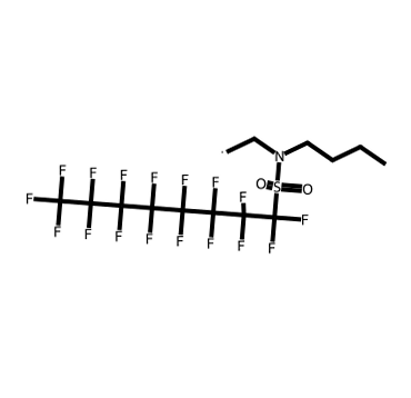 [CH2]CN(CCCC)S(=O)(=O)C(F)(F)C(F)(F)C(F)(F)C(F)(F)C(F)(F)C(F)(F)C(F)(F)C(F)(F)F